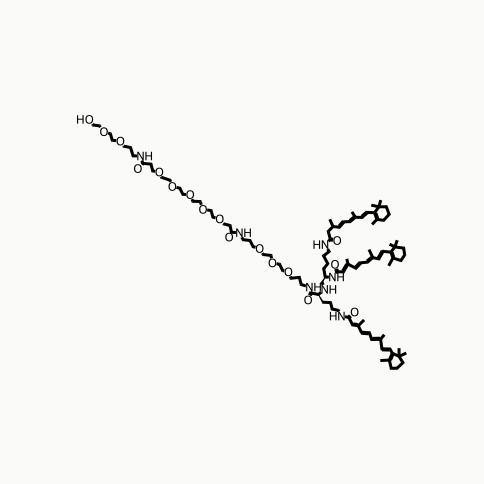 CC1=C(/C=C/C(C)=C/C=C/C(C)=C/C(=O)NCCCC[C@H](NC[C@@H](CCCCNC(=O)CC(C)/C=C/C=C(C)/C=C/C2=C(C)CCCC2(C)C)NC(=O)/C=C(C)/C=C/C=C(C)/C=C/C2=C(C)CCCC2(C)C)C(=O)NCCCOCCOCCOCCCNC(=O)CCOCCOCCOCCOCCOCCC(=O)NCCCOCCOCCO)C(C)(C)CCC1